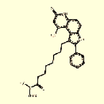 CCCCCN(C)C(=O)CCCCCCCc1c(-c2ccccc2)[nH]c2ccc3[nH]c(=O)cc(C(F)(F)F)c3c12